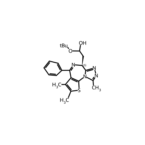 Cc1sc2c(c1C)C(c1ccccc1)=N[C@@H](CC(O)OC(C)(C)C)c1nnc(C)n1-2